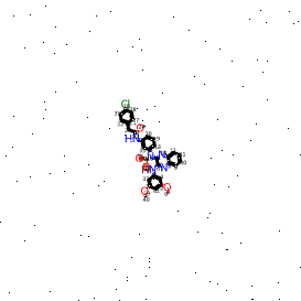 COc1cc(Nc2nc3ccccc3nc2N(c2cccc(NC(=O)Cc3ccc(Cl)cc3)c2)[SH](=O)=O)cc(OC)c1